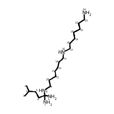 CC(C)CCC(N)(N)NCCCCCCCNCCCCCCCN